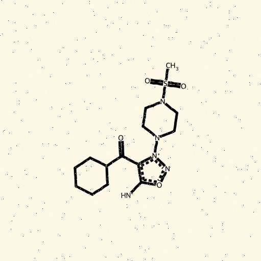 CS(=O)(=O)N1CCN([n+]2noc([NH-])c2C(=O)C2CCCCC2)CC1